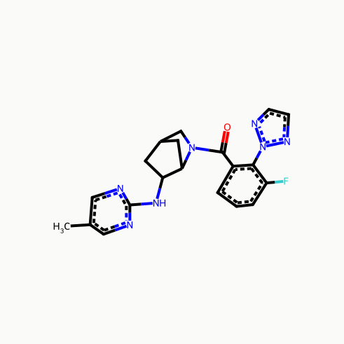 Cc1cnc(NC2CC3CC2N(C(=O)c2cccc(F)c2-n2nccn2)C3)nc1